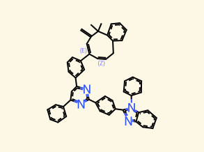 C=C1/C=C(c2cccc(-c3cc(-c4ccccc4)nc(-c4ccc(-c5nc6ccccc6n5-c5ccccc5)cc4)n3)c2)\C=C/Cc2ccccc2C1(C)C